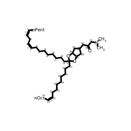 CCCCC/C=C\C/C=C\CCCCCCCCC1(CCCCCCCC/C=C\CCCCCCCC)OC2CC(CC(=O)CN(C)C)CC2O1